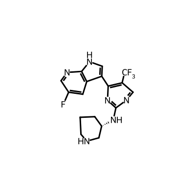 Fc1cnc2[nH]cc(-c3nc(N[C@H]4CCCNC4)ncc3C(F)(F)F)c2c1